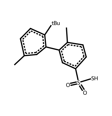 Cc1ccc(C(C)(C)C)c(-c2cc(S(=O)(=O)S)ccc2C)c1